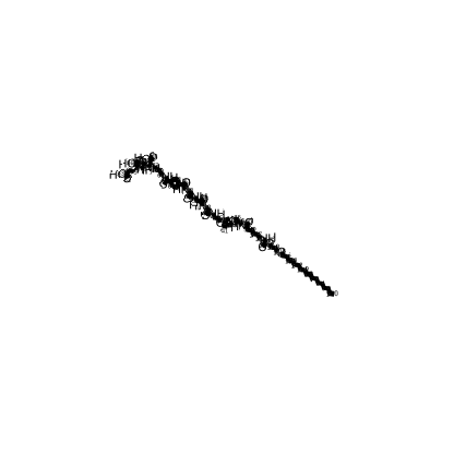 CCCCCCCCCCCCCCCCCCOCCCOC(=O)NCCCCCC(=O)NCC(C)(C)OCC(C)(CC)OCCNC(=O)CNC(=O)CNC(=O)CNC(=O)c1ccc(C(=O)NCCCC[C@H](NC(=O)N[C@@H](CCC(=O)O)C(=O)O)C(=O)O)cc1